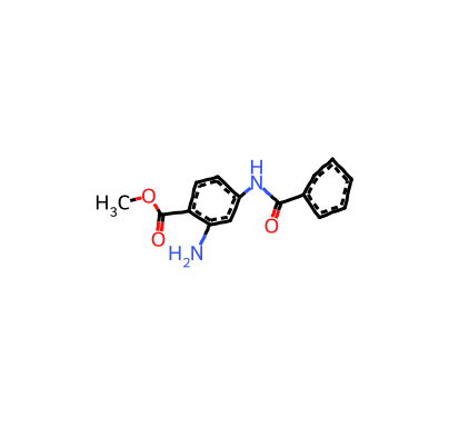 COC(=O)c1ccc(NC(=O)c2ccccc2)cc1N